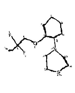 CC(F)(F)COC1CCCCC1N1CCSCC1